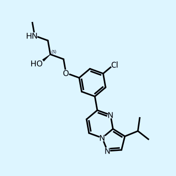 CNC[C@H](O)COc1cc(Cl)cc(-c2ccn3ncc(C(C)C)c3n2)c1